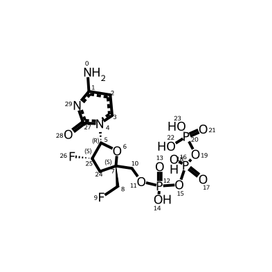 Nc1ccn([C@@H]2O[C@](CF)(COP(=O)(O)OP(=O)(O)OP(=O)(O)O)C[C@@H]2F)c(=O)n1